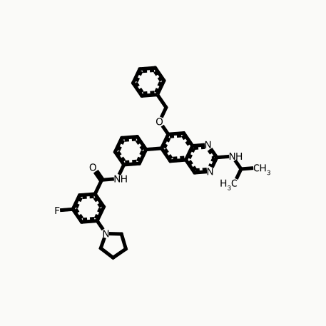 CC(C)Nc1ncc2cc(-c3cccc(NC(=O)c4cc(F)cc(N5CCCC5)c4)c3)c(OCc3ccccc3)cc2n1